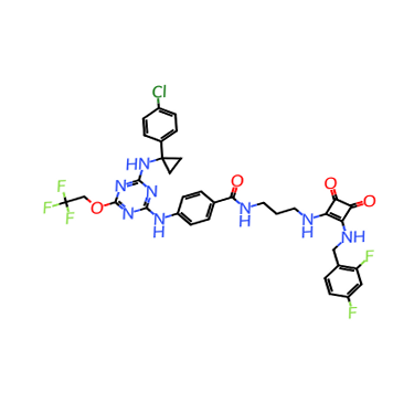 O=C(NCCCNc1c(NCc2ccc(F)cc2F)c(=O)c1=O)c1ccc(Nc2nc(NC3(c4ccc(Cl)cc4)CC3)nc(OCC(F)(F)F)n2)cc1